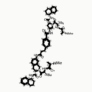 CN[C@@H](C)C(=O)N[C@H](C(=O)N1Cc2cc(NC(=O)CCc3ccc(C(=O)N[C@H]4C[C@@H](C(=O)N[C@@H]5CCCc6ccccc65)N(C(=O)[C@@H](NC(=O)[C@H](C)NC)C(C)(C)C)C4)cc3)ccc2C[C@H]1C(=O)N[C@@H]1CCCc2ccccc21)C(C)(C)C